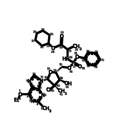 CCOc1nc(C)nc2c1ncn2[C@@H]1O[C@H](COP(=O)(NC(C)C(=O)OC2CCCCC2)Oc2ccccc2)[C@@H](O)[C@@]1(C)Cl